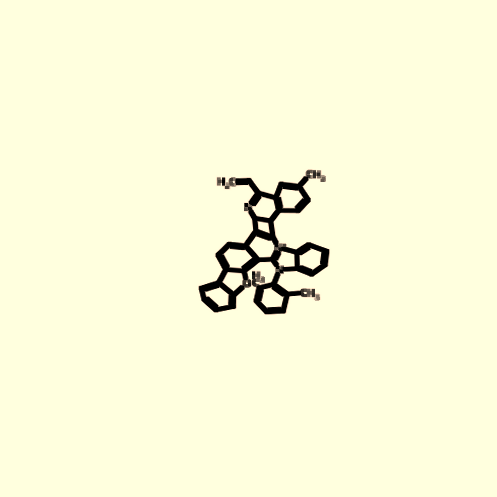 C=CC1=NC2c3c([n+]4c5ccccc5n(-c5c(C)cccc5C)c4c4c3ccc3c5ccccc5oc34)C2c2ccc(C)cc21